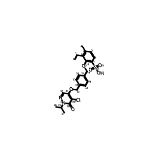 CCc1c(C)ccc(S(=O)(=O)O)c1OCc1ccc(COc2cnn(C(C)C)c(=O)c2Cl)cc1